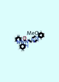 COc1ccccc1N1CCN(CCNC(=O)N(c2ccccn2)C2CCCCC2)CC1